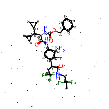 CC(F)(F)CNC(=O)C(CC(F)(F)F)c1ccc(NC(=O)[C@@H](NC(=O)OCc2ccccc2)C(C2CC2)C2CC2)c(N)c1F